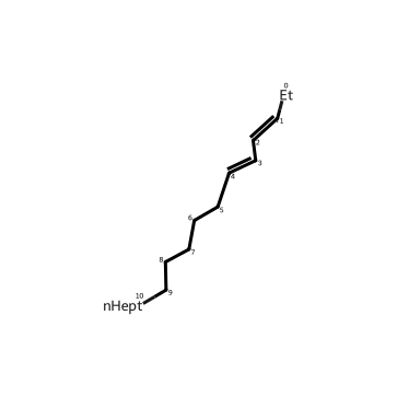 CC/[C]=C/C=CCCCCCCCCCCCC